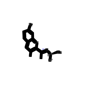 C/C(=N\[S@+]([O-])C(C)(C)C)c1nc2cc(Br)ccc2cc1C